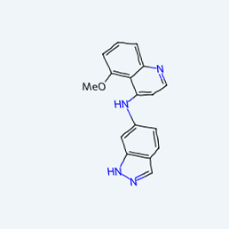 COc1cccc2nccc(Nc3ccc4cn[nH]c4c3)c12